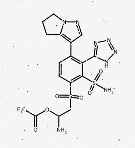 NC(CS(=O)(=O)c1ccc(-c2cnn3c2CCC3)c(-c2nnn[nH]2)c1S(N)(=O)=O)OC(=O)C(F)(F)F